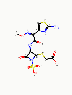 CO/N=C(\C(=O)NC1C(=O)N(S(=O)(=O)O)C1SCC(=O)O)c1csc(N)n1